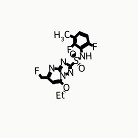 CCOc1cc(CF)nc2nc(S(=O)(=O)Nc3c(F)ccc(C)c3F)nn12